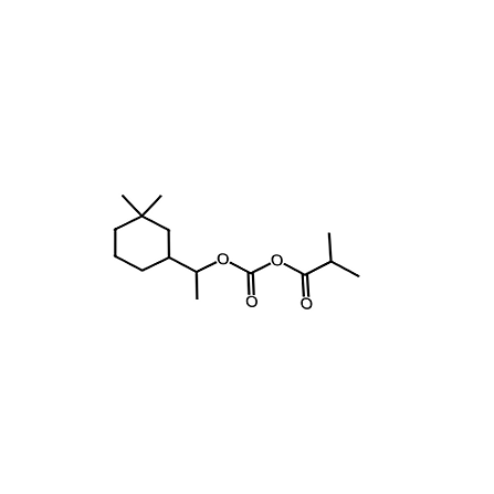 CC(C)C(=O)OC(=O)OC(C)C1CCCC(C)(C)C1